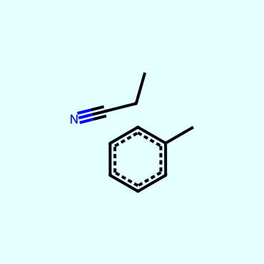 CCC#N.Cc1ccccc1